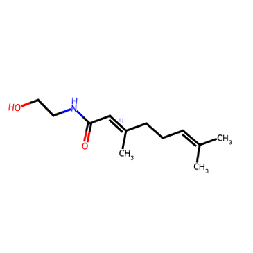 CC(C)=CCC/C(C)=C/C(=O)NCCO